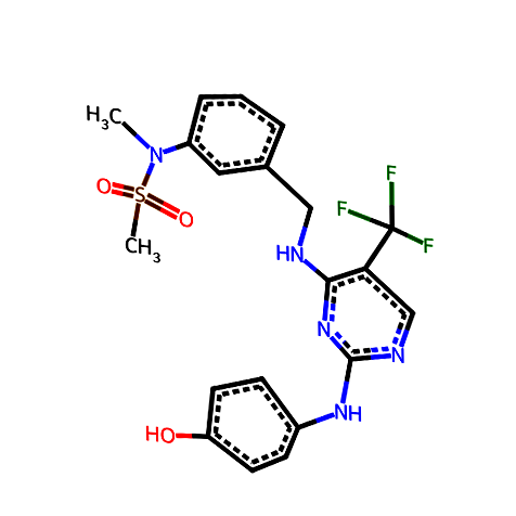 CN(c1cccc(CNc2nc(Nc3ccc(O)cc3)ncc2C(F)(F)F)c1)S(C)(=O)=O